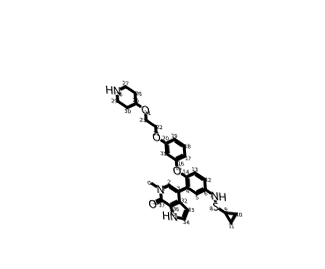 Cn1cc(-c2cc(NSC3CC3)ccc2Oc2cccc(OCCOC3CCNCC3)c2)c2cc[nH]c2c1=O